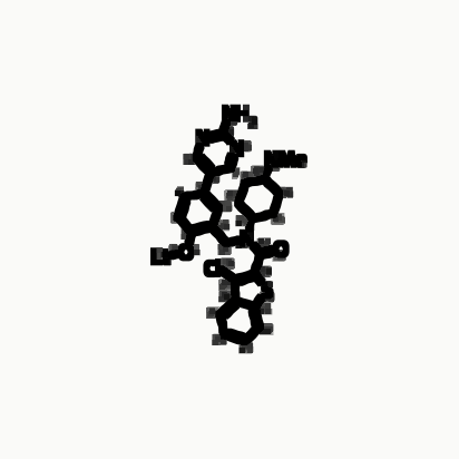 CCOc1ccc(-c2cnc(N)nc2)cc1CN(C(=O)c1sc2ccccc2c1Cl)[C@H]1CC[C@@H](NC)CC1